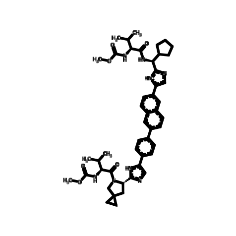 COC(=O)N[C@H](C(=O)N[C@H](c1ncc(-c2ccc3cc(-c4ccc(-c5cnc([C@@H]6CC7(CC7)CN6C(=O)[C@@H](NC(=O)OC)C(C)C)[nH]5)cc4)ccc3c2)[nH]1)C1CCCC1)C(C)C